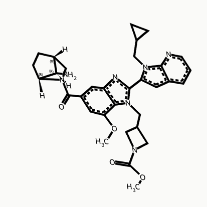 COC(=O)N1CC(Cn2c(-c3cc4cccnc4n3CC3CC3)nc3cc(C(=O)N4C[C@H]5CC[C@@H]4[C@@H]5N)cc(OC)c32)C1